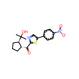 CC(C)(O)[C@@H]1CCC[C@H]1C(=O)c1ncc(-c2ccc([N+](=O)[O-])cc2)s1